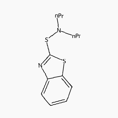 CCCN(CCC)Sc1nc2ccccc2s1